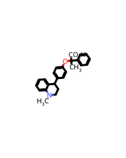 CN1CCC(c2ccc(OC(C)(C(=O)O)c3ccccc3)cc2)c2ccccc21